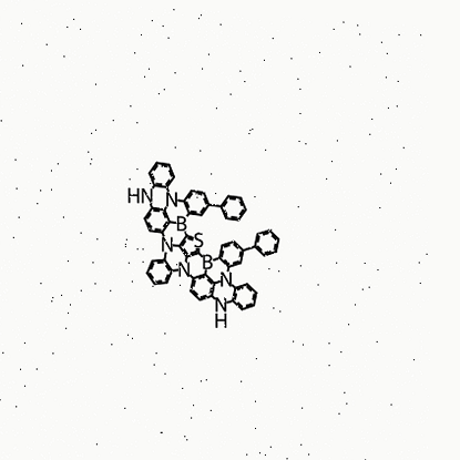 c1ccc(-c2ccc3c(c2)B2c4sc5c6c4N(c4ccccc4N6c4ccc6c7c4B5c4ccc(-c5ccccc5)cc4N7c4ccccc4N6)c4ccc5c(c42)N3c2ccccc2N5)cc1